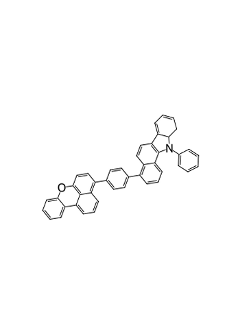 C1=CCC2C(=C1)c1ccc3c(-c4ccc(-c5ccc6c7c(cccc57)-c5ccccc5O6)cc4)cccc3c1N2c1ccccc1